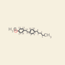 CCCCCc1ccc(CCc2ccc(OC)cc2)cc1